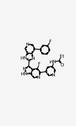 CCC(=O)Nc1cncc(-c2ncc3[nH]nc(-c4nc5c(-c6cccc(F)c6)cncc5[nH]4)c3c2F)c1